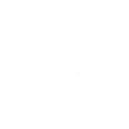 SC1C2CCCC12